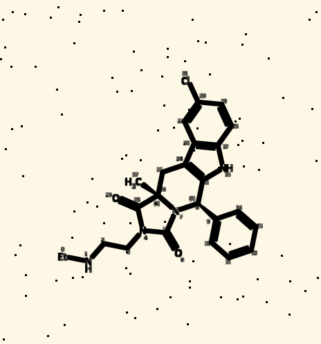 CCNCCN1C(=O)N2[C@H](c3ccccc3)c3[nH]c4ccc(Cl)cc4c3C[C@@]2(C)C1=O